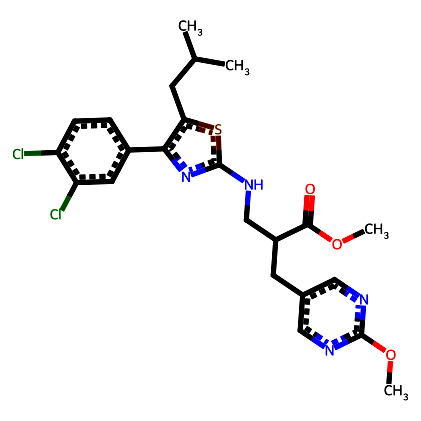 COC(=O)C(CNc1nc(-c2ccc(Cl)c(Cl)c2)c(CC(C)C)s1)Cc1cnc(OC)nc1